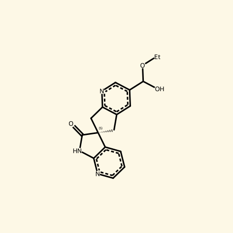 CCOC(O)c1cnc2c(c1)C[C@@]1(C2)C(=O)Nc2ncccc21